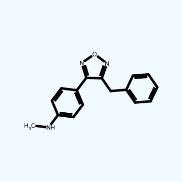 CNc1ccc(-c2nonc2Cc2ccccc2)cc1